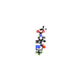 CC(C)(C)OC(=O)N1C[C@@H]2C(C(=O)NC(C)(C)C(F)(F)F)[C@@H]2C1